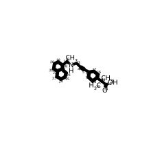 C[C@@H](NCC#Cc1ccc(C(C)(C)C(=O)O)cc1)c1cccc2ccccc12